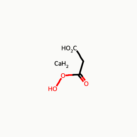 O=C(O)CC(=O)OO.[CaH2]